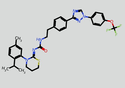 Cc1ccc(C(C)C)c(N2CCCSC2=NC(=O)NCCc2ccc(-c3ncn(-c4ccc(OC(F)(F)F)cc4)n3)cc2)c1